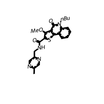 CCCCn1c(=O)c2c(OC)c(C(=O)NCc3cnc(C)cn3)sc2c2ccccc21